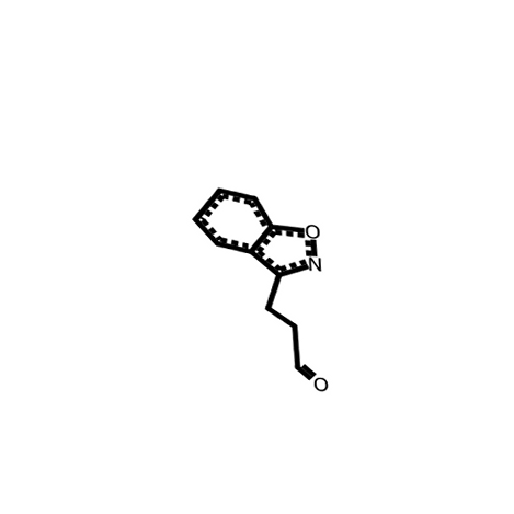 O=CCCc1noc2ccccc12